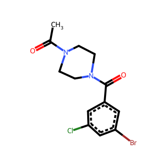 CC(=O)N1CCN(C(=O)c2cc(Cl)cc(Br)c2)CC1